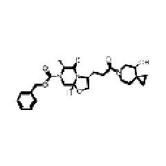 C[C@H]1C(=O)N2[C@@H](CCC(=O)N3CCC4(CC4)[C@H](O)C3)CO[C@@H]2CN1C(=O)OCc1ccccc1